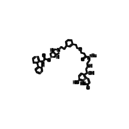 CCCCN(CCNC[C@H](O)c1ccc(O)c2[nH]c(=O)ccc12)C(=O)CCOCCc1cccc(CCN2C[C@H]3C[C@H](OC(=O)Nc4ccccc4-c4ccccc4)C[C@H]3C2)c1